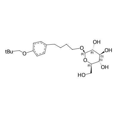 CC(C)(C)COc1ccc(CCCCO[C@@H]2O[C@H](CO)[C@@H](O)[C@H](O)[C@H]2O)cc1